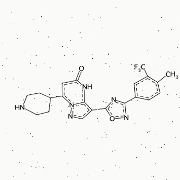 Cc1ccc(-c2noc(-c3cnn4c(C5CCNCC5)cc(=O)[nH]c34)n2)cc1C(F)(F)F